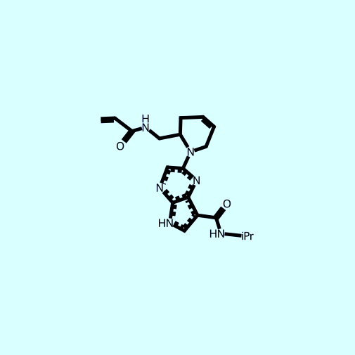 C=CC(=O)NCC1CC=CCN1c1cnc2[nH]cc(C(=O)NC(C)C)c2n1